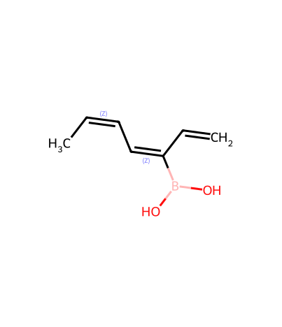 C=C/C(=C\C=C/C)B(O)O